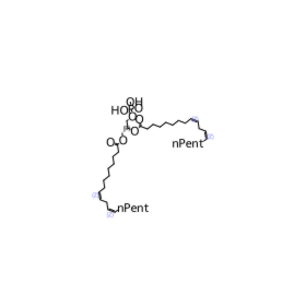 CCCCC/C=C\C/C=C\CCCCCCCC(=O)OC[C@H](COP(=O)(O)O)OC(=O)CCCCCCC/C=C\C/C=C\CCCCC